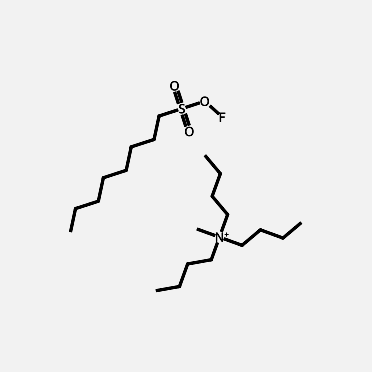 CCCCCCCCS(=O)(=O)OF.CCCC[N+](C)(CCCC)CCCC